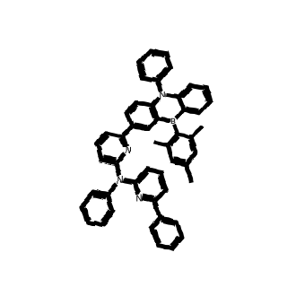 Cc1cc(C)c(B2c3ccccc3N(c3ccccc3)c3ccc(-c4cccc(N(c5ccccc5)c5cccc(-c6ccccc6)n5)n4)cc32)c(C)c1